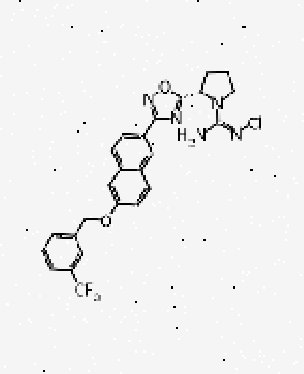 N/C(=N/Cl)N1CCC[C@H]1c1nc(-c2ccc3cc(OCc4cccc(C(F)(F)F)c4)ccc3c2)no1